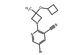 CC1(OC2CCC2)CN(c2ncc(Br)cc2C#N)C1